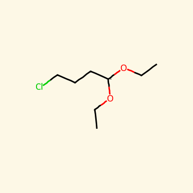 CCO[C](CCCCl)OCC